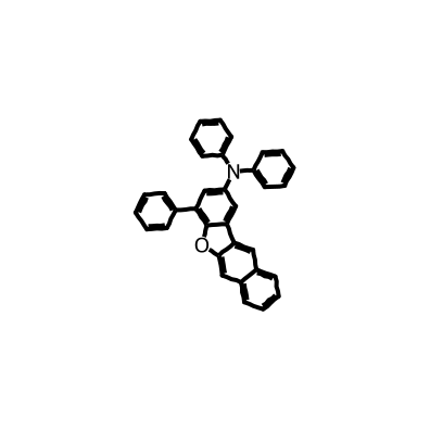 c1ccc(-c2cc(N(c3ccccc3)c3ccccc3)cc3c2oc2cc4ccccc4cc23)cc1